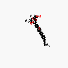 C=C(C)C(=O)OCC(CCOC(=O)C(=C)CO)c1ccc(C2CCC(c3ccc(-c4ccc(CCCCC)cc4)cc3)CO2)cc1